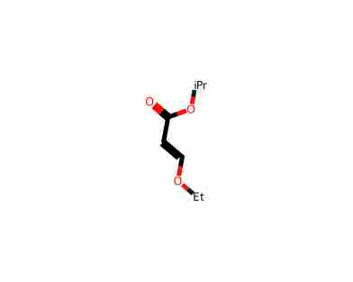 CCOC=CC(=O)OC(C)C